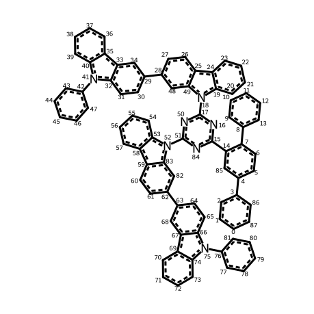 c1ccc(-c2ccc(-c3ccccc3)c(-c3nc(-n4c5ccccc5c5ccc(-c6ccc7c(c6)c6ccccc6n7-c6ccccc6)cc54)nc(-n4c5ccccc5c5ccc(-c6ccc7c(c6)c6ccccc6n7-c6ccccc6)cc54)n3)c2)cc1